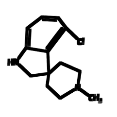 CN1CCC2(CC1)CNc1cccc(Cl)c12